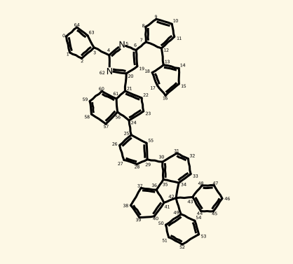 c1ccc(-c2nc(-c3ccccc3-c3ccccc3)cc(-c3ccc(-c4cccc(-c5cccc6c5-c5ccccc5C6(c5ccccc5)c5ccccc5)c4)c4ccccc34)n2)cc1